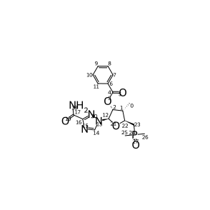 C[C@H]1[C@@H](OC(=O)c2ccccc2)[C@H](n2cnc(C(N)=O)n2)O[C@@H]1CP(C)(C)=O